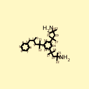 CC(Cc1ccccc1)CC(C)(C)c1cc(C(C)(C)CC(C)(C)N)cc(C(C)(C)CC(C)(C)N)c1